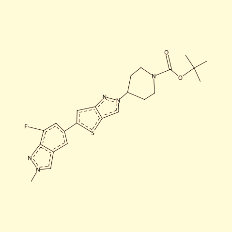 Cn1cc2cc(-c3cc4nn(C5CCN(C(=O)OC(C)(C)C)CC5)cc4s3)cc(F)c2n1